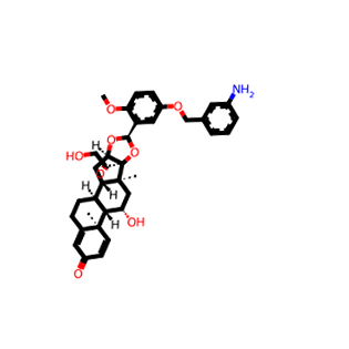 COc1ccc(OCc2cccc(N)c2)cc1[C@@H]1O[C@@H]2C[C@H]3[C@@H]4CCC5=CC(=O)C=C[C@]5(C)[C@H]4[C@@H](O)C[C@]3(C)[C@]2(C(=O)CO)O1